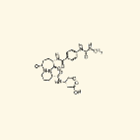 CNC(=O)Nc1ccc(C(=O)N[C@H]2CCC(=O)N3CCC[C@@H](C(=O)N[C@H](C=O)CC(=O)O)N3C2=O)cc1